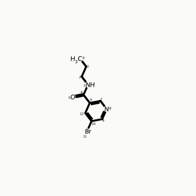 CCCNC(=O)c1cncc(Br)c1